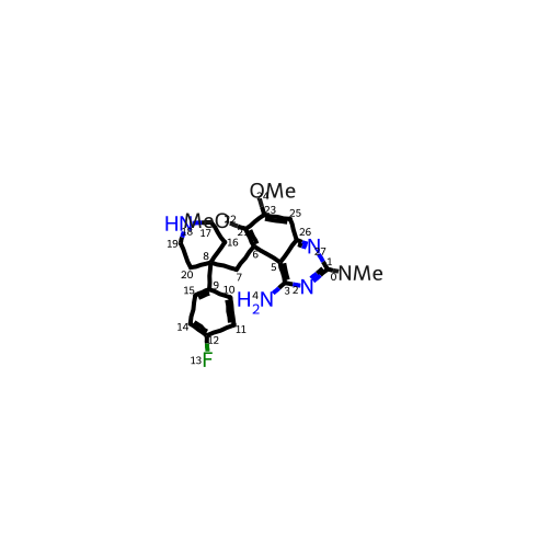 CNc1nc(N)c2c(CC3(c4ccc(F)cc4)CCNCC3)c(OC)c(OC)cc2n1